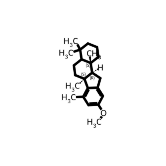 COc1cc(C)c2c(c1)C[C@@H]1[C@@]3(C)CCCC(C)(C)C3CC[C@]21C